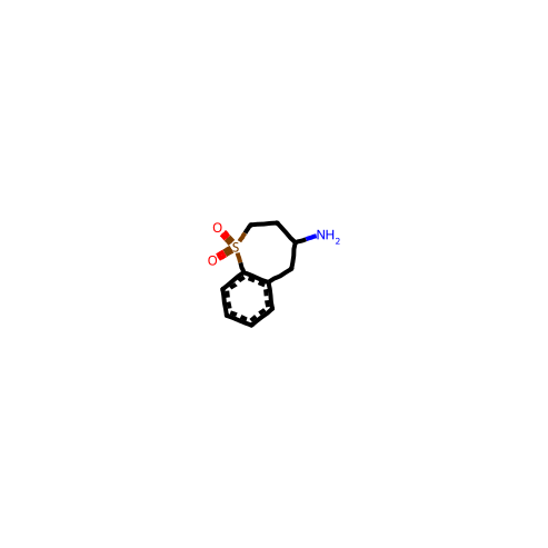 NC1CCS(=O)(=O)c2ccccc2C1